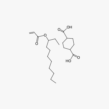 C=CC(=O)OC(CC)CCCCCCCC.O=C(O)C1CCC(C(=O)O)CC1